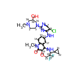 CN1CCN(c2ncc(Cl)c(Nc3ccc4c(c3)c3c(c(=O)n4C)OCC(F)(F)[C@H](C4CC4)N3)n2)CC(O)C1